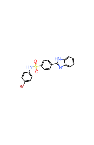 O=S(=O)(Nc1ccc(Br)cc1)c1ccc(-c2nc3ccccc3[nH]2)cc1